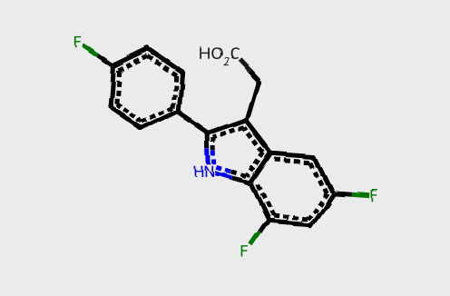 O=C(O)Cc1c(-c2ccc(F)cc2)[nH]c2c(F)cc(F)cc12